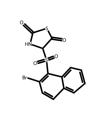 O=C1NC(S(=O)(=O)c2c(Br)ccc3ccccc23)C(=O)S1